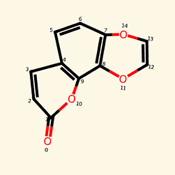 O=c1ccc2ccc3c(c2o1)OC=CO3